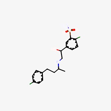 CC(CCc1ccc(F)cc1)NCC(O)c1ccc(Cl)c(S(N)(=O)=O)c1